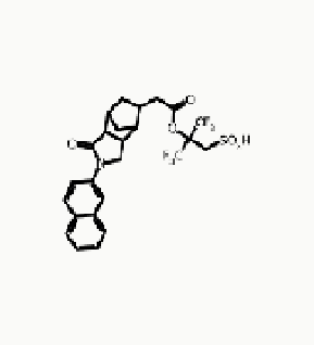 O=C(CC1CC2CC1C1CN(c3ccc4ccccc4c3)C(=O)C21)OC(CS(=O)(=O)O)(C(F)(F)F)C(F)(F)F